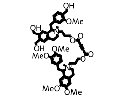 COc1cc(CC2c3cc(CO)c(CO)cc3CC[N+]2(C)CCCOC(=O)C#CC(=O)OCCC[N+]2(C)CCc3cc(OC)c(OC)cc3C2Cc2ccc(OC)c(OC)c2)ccc1CO